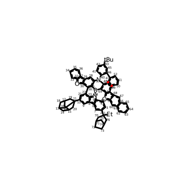 CCC1(c2ccc3c(c2)c2cc(C45CC6CC(CC(C6)C4)C5)cc4c2n3B2c3c(cc5c(oc6ccccc65)c3-4)N(c3ccc(C(C)(C)C)cc3-c3ccccc3)c3ccc4c(oc5cc6ccccc6cc54)c32)CC2CCC(C2)C1